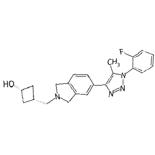 Cc1c(-c2ccc3c(c2)CN(C[C@H]2C[C@@H](O)C2)C3)nnn1-c1ccccc1F